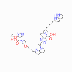 O=C(O)C(c1cncnc1OC1CC1)N1CC[C@@H](OCCCCc2ccc3c(n2)N(C2CC2c2ncc(C(C(=O)O)N4CC[C@@H](CCCCCc5ccc6c(n5)NCCC6)C4)c(C4CC4)n2)CCC3)C1